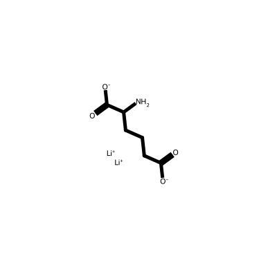 NC(CCCC(=O)[O-])C(=O)[O-].[Li+].[Li+]